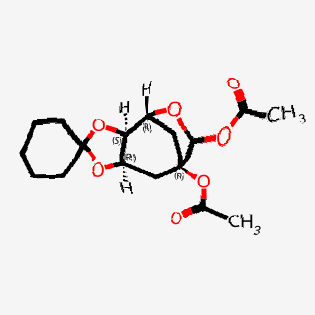 CC(=O)OC1O[C@@H]2C[C@@]1(OC(C)=O)C[C@H]1OC3(CCCCC3)O[C@@H]21